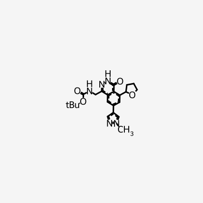 Cn1cc(-c2cc(C3CCCO3)c3c(=O)[nH]nc(CNC(=O)OC(C)(C)C)c3c2)cn1